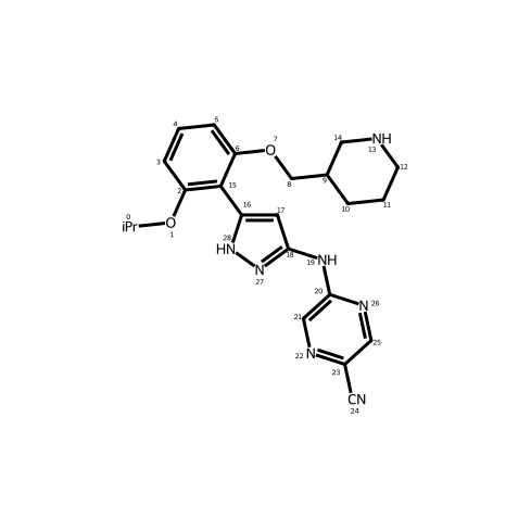 CC(C)Oc1cccc(OCC2CCCNC2)c1-c1cc(Nc2cnc(C#N)cn2)n[nH]1